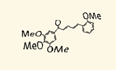 COc1ccccc1C=CC=CC(=O)c1cc(OC)c(OC)c(OC)c1